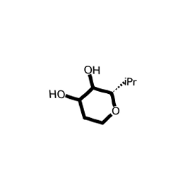 CC(C)[C@@H]1OCCC(O)C1O